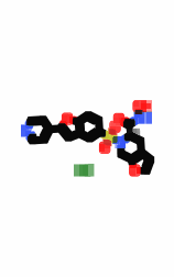 Cl.O=C(NO)[C@H]1Cc2ccoc2CN1S(=O)(=O)c1ccc2oc(-c3ccncc3)cc2c1